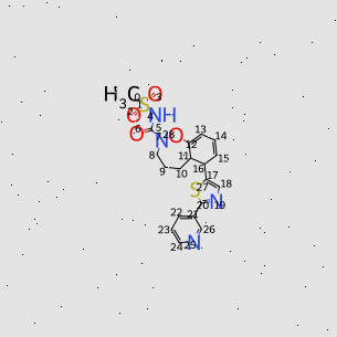 CS(=O)(=O)NC(=O)N1CCCC2C(=CC=CC2c2cnc(-c3cccnc3)s2)O1